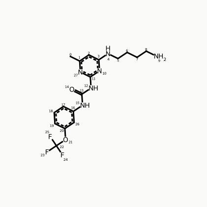 Cc1cc(NCCCCN)nc(NC(=O)Nc2cccc(OC(F)(F)F)c2)n1